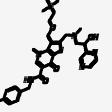 CN(Cc1sc2c(=O)c(C(=O)NCc3ccc(Cl)cc3)cn(C)c2c1COCC[Si](C)(C)C)CC(O)c1cnccn1